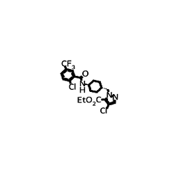 CCOC(=O)c1c(Cl)cnn1C[C@H]1CC[C@H](NC(=O)c2cc(C(F)(F)F)ccc2Cl)CC1